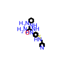 N=C(Nc1ccc(SNCc2ccncc2)cc1)/C(=C\NC1CCCCC1N)C(N)=O